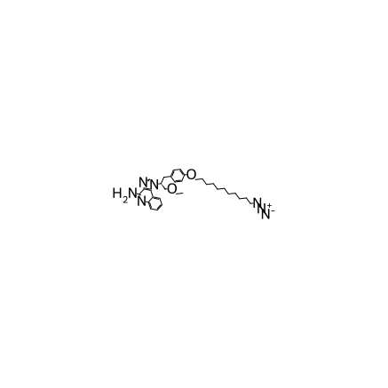 CCOC[C@H](Cc1ccc(OCCCCCCCCCCCN=[N+]=[N-])cc1)n1cnc2c(N)nc3ccccc3c21